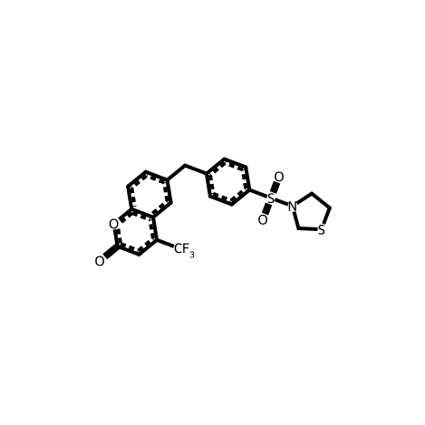 O=c1cc(C(F)(F)F)c2cc(Cc3ccc(S(=O)(=O)N4CCSC4)cc3)ccc2o1